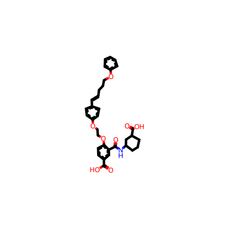 O=C(O)c1ccc(OCCOc2ccc(C=CCCCOc3ccccc3)cc2)c(C(=O)NC2CCCC(C(=O)O)C2)c1